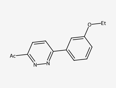 CCOc1cccc(-c2ccc(C(C)=O)nn2)c1